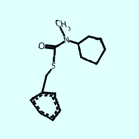 CN(C(=O)SCc1ccccc1)C1CCCCC1